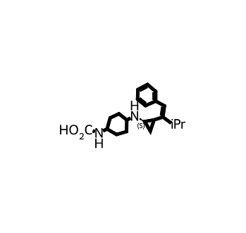 CC(C)C(=Cc1ccccc1)C1C[C@@H]1NC1CCC(NC(=O)O)CC1